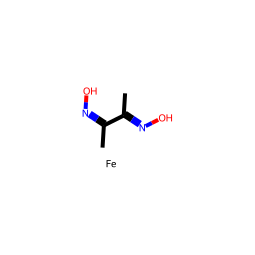 CC(=NO)C(C)=NO.[Fe]